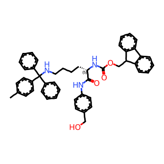 Cc1ccc(C(NCCCC[C@H](NC(=O)OCC2c3ccccc3-c3ccccc32)C(=O)Nc2ccc(CO)cc2)(c2ccccc2)c2ccccc2)cc1